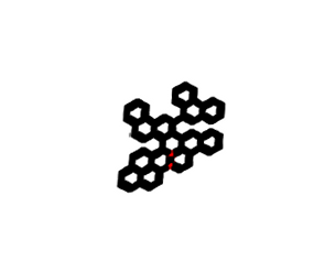 [c]1cc2c(-c3ccc4ccc5cccc6ccc3c4c56)c(-c3cc4ccccc4c4ccccc34)c(-c3cc4ccccc4c4ccccc34)cc2c2ccccc12